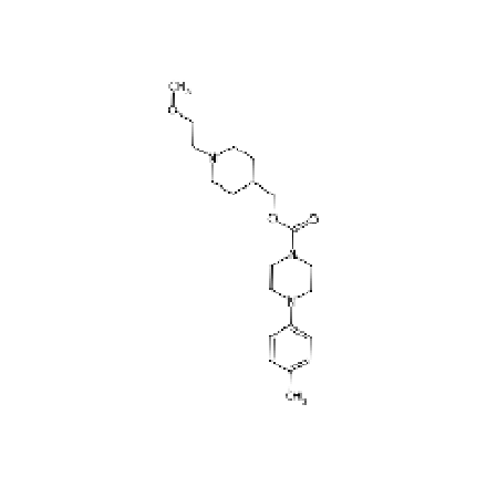 COCCN1CCC(COC(=O)N2CCN(c3ccc(C)cc3)CC2)CC1